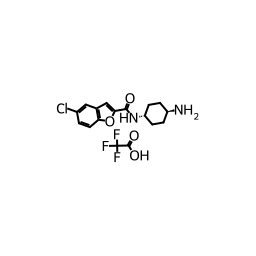 N[C@H]1CC[C@H](NC(=O)c2cc3cc(Cl)ccc3o2)CC1.O=C(O)C(F)(F)F